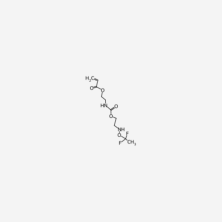 C=CC(=O)OCCNC(=O)OCCNOC(C)(F)F